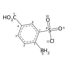 Bc1ccc(C(=O)O)cc1S(=O)(=O)Cl